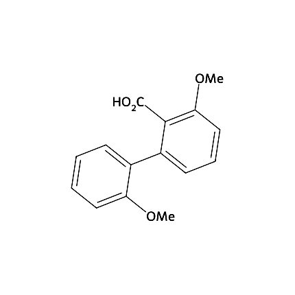 COc1ccccc1-c1cccc(OC)c1C(=O)O